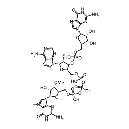 CO[C@H]1[C@@H](O)[C@H](n2c[n+](C)c3c(=O)[nH]c(N)nc32)O[C@@H]1COP(=O)(O)OP(=O)(O)OP(=O)(O)OC[C@H]1O[C@@H](n2cnc3c(N)ncnc32)[C@H](F)[C@@H]1OP(=O)(O)OC[C@H]1O[C@@H](n2cnc3c(=O)[nH]c(N)nc32)[C@H](O)[C@@H]1O